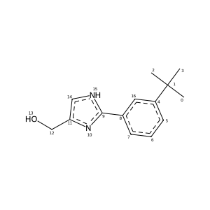 CC(C)(C)c1cccc(-c2nc(CO)c[nH]2)c1